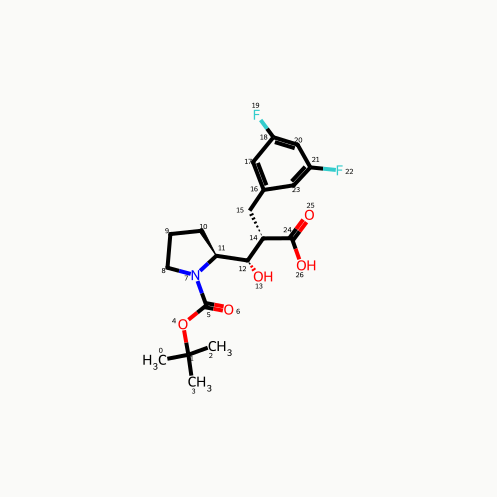 CC(C)(C)OC(=O)N1CCC[C@H]1[C@@H](O)[C@H](Cc1cc(F)cc(F)c1)C(=O)O